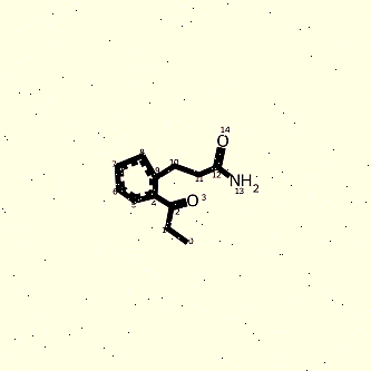 CCC(=O)c1ccccc1CCC(N)=O